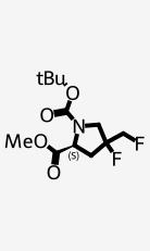 COC(=O)[C@@H]1CC(F)(CF)CN1C(=O)OC(C)(C)C